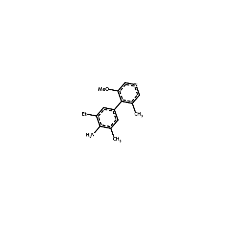 CCc1cc(-c2c(C)cncc2OC)cc(C)c1N